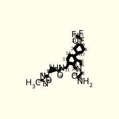 Cc1noc([C@@H]2C[C@H]2C(=O)NCc2ccc(-c3cccc(OC(F)(F)F)c3)c3c2CN(CC(N)=O)CC3)n1